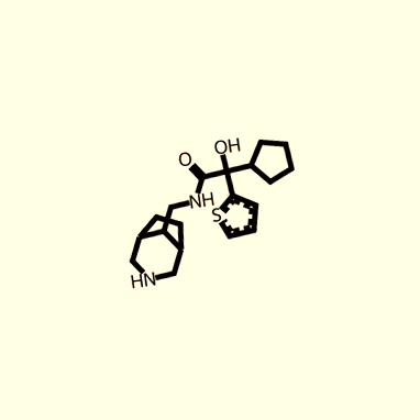 O=C(NCC1C2CCC1CNC2)C(O)(c1cccs1)C1CCCC1